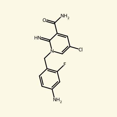 N=c1c(C(N)=O)cc(Cl)cn1Cc1ccc(N)cc1F